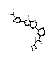 O=C(NC1COC1)c1cccc(-c2cnc3[nH]c(-c4cnn(C(F)F)c4)cc3c2)n1